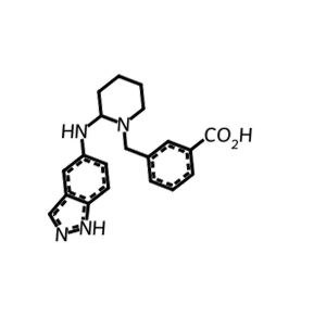 O=C(O)c1cccc(CN2CCCCC2Nc2ccc3[nH]ncc3c2)c1